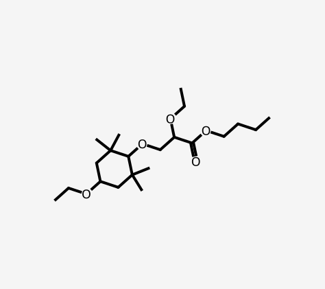 CCCCOC(=O)C(COC1C(C)(C)CC(OCC)CC1(C)C)OCC